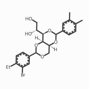 CCc1ccc(C2OC[C@@H]3OC(c4ccc(C)c(C)c4)O[C@H]([C@H](O)CO)[C@@H]3O2)cc1Br